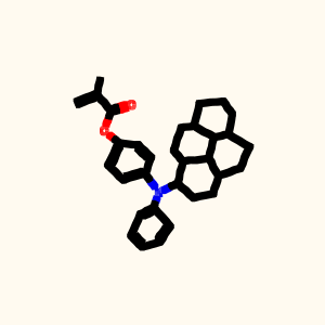 C=C(C)C(=O)Oc1ccc(N(c2ccccc2)C2CCC3CCC4CCCC5CCC2C3C45)cc1